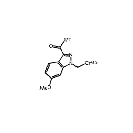 COc1ccc2c(C(=O)C(C)C)nn(C[C]=O)c2c1